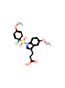 COC1=CCC(Cl)(S(=O)(=O)n2cc(CCC(=O)O)c3cc(OC)ccc32)C=C1